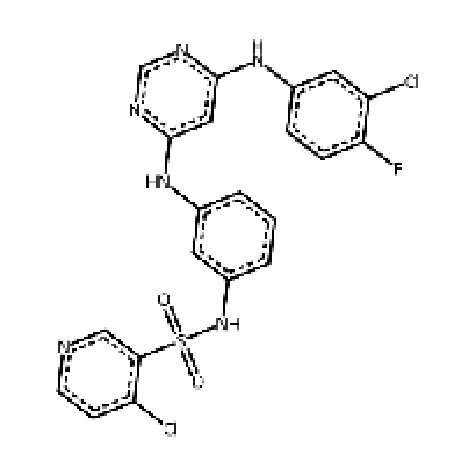 O=S(=O)(Nc1cccc(Nc2cc(Nc3ccc(F)c(Cl)c3)ncn2)c1)c1cnccc1Cl